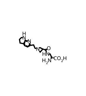 N[C@@H](CNC(=O)C1CN(CCc2ccc3c(n2)NCCC3)C1)C(=O)O